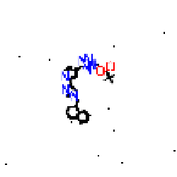 CC(C)(C)C(=O)OCn1nnc(-c2ccnc(-c3cn(CC4CCCc5ccccc54)cn3)c2)n1